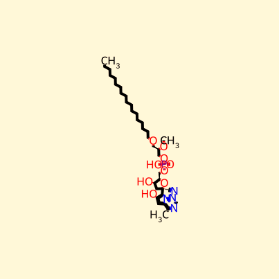 CCCCCCCCCCCCCCCCCCOC[C@H](COP(=O)(O)OC[C@H]1O[C@@](C#N)(c2ccc3c(C)ncnn23)[C@H](O)[C@@H]1O)OC